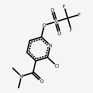 CN(C)C(=O)c1ccc(OS(=O)(=O)C(F)(F)F)nc1Cl